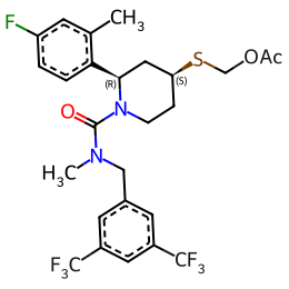 CC(=O)OCS[C@H]1CCN(C(=O)N(C)Cc2cc(C(F)(F)F)cc(C(F)(F)F)c2)[C@@H](c2ccc(F)cc2C)C1